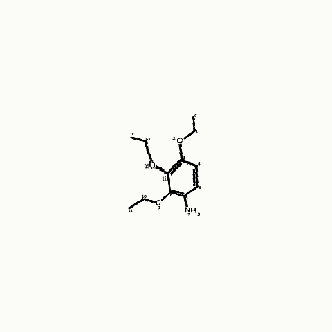 CCOc1ccc(N)c(OCC)c1OCC